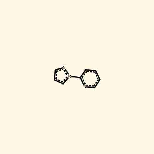 [c]1cccnc1-n1cccn1